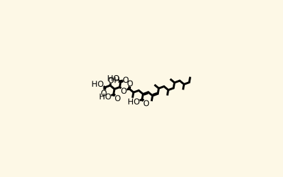 CCC(C)CC(C)CC(C)CC(C)C=C(C)C=C(CC(C)C(=O)OC(C(=O)O)C(C(=O)O)C(O)C(=O)O)C(=O)O